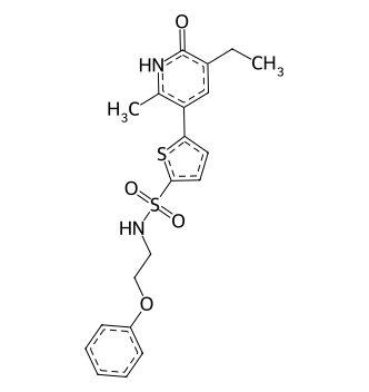 CCc1cc(-c2ccc(S(=O)(=O)NCCOc3ccccc3)s2)c(C)[nH]c1=O